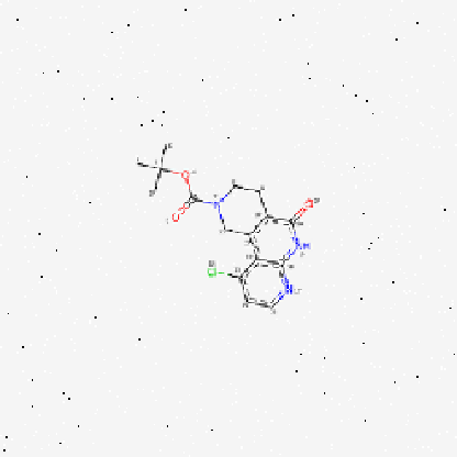 CC(C)(C)OC(=O)N1CCc2c(c3c(Cl)ccnc3[nH]c2=O)C1